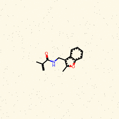 C=C(C)C(=O)NCc1c(C)oc2ccccc12